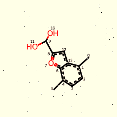 Cc1ccc(C)c2oc(C(O)O)cc12